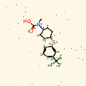 CN(C(=O)O)C1CCC(Sc2cccc(C(F)(F)F)c2)CC1